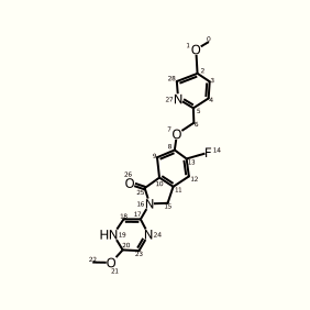 COc1ccc(COc2cc3c(cc2F)CN(C2=CNC(OC)C=N2)C3=O)nc1